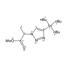 CCC[CH2][Sn]([CH2]CCC)([CH2]CCC)[c]1cn(C(C)C(=O)OC)nn1